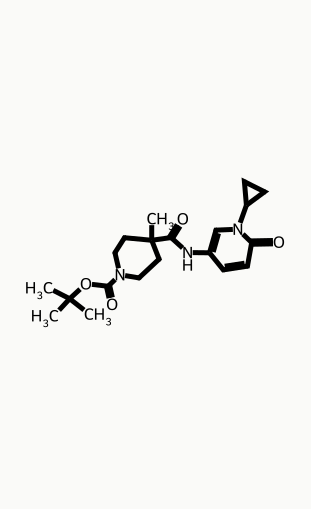 CC(C)(C)OC(=O)N1CCC(C)(C(=O)Nc2ccc(=O)n(C3CC3)c2)CC1